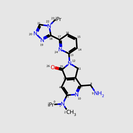 CC(C)N(C)c1cc2c(c(CN)n1)CN(c1cccc(-c3nncn3C(C)C)n1)C2=O